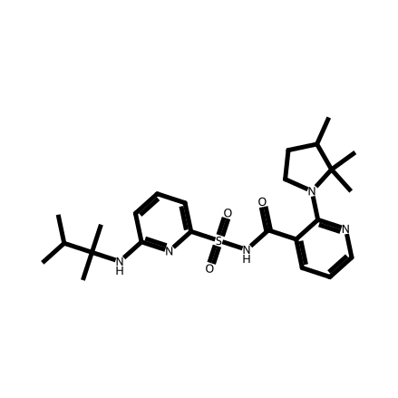 CC(C)C(C)(C)Nc1cccc(S(=O)(=O)NC(=O)c2cccnc2N2CCC(C)C2(C)C)n1